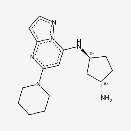 N[C@H]1CC[C@H](Nc2cc(N3CCCCC3)nc3ccnn23)C1